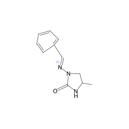 CC1CN(/N=C/c2ccccc2)C(=O)N1